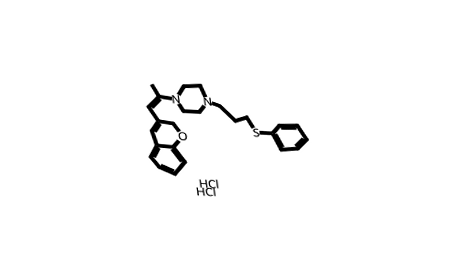 CC(=CC1=Cc2ccccc2OC1)N1CCN(CCCSc2ccccc2)CC1.Cl.Cl